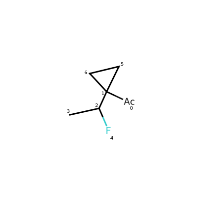 CC(=O)C1(C(C)F)CC1